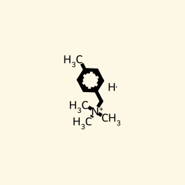 Cc1ccc(C[N+](C)(C)C)cc1.[H]